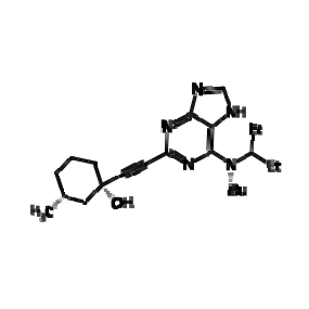 CCC(CC)N(c1nc(C#C[C@]2(O)CCC[C@@H](C)C2)nc2nc[nH]c12)[C@@H](C)CC